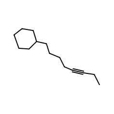 CCC#CCCCCC1CCCCC1